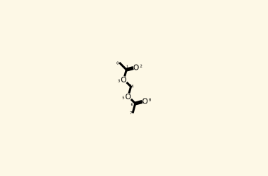 CC(=O)O[CH]OC(C)=O